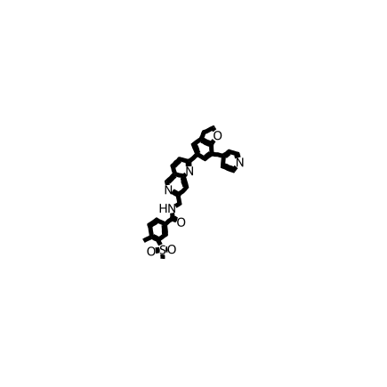 Cc1ccc(C(=O)NCc2cc3nc(-c4cc5c(c(-c6ccncc6)c4)OCC5)ccc3cn2)cc1S(C)(=O)=O